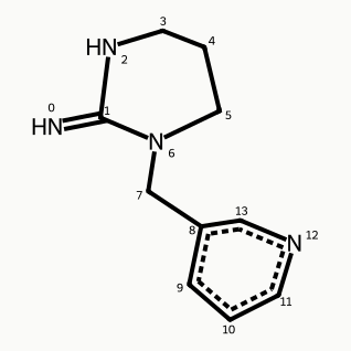 N=C1NCCCN1Cc1cccnc1